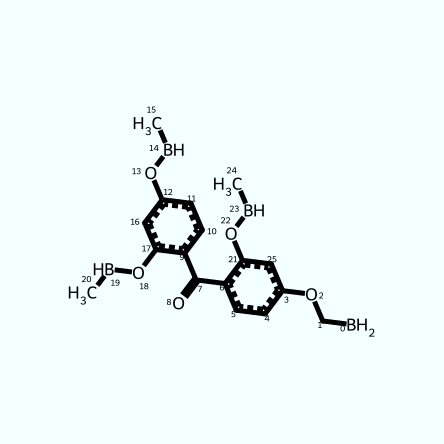 BCOc1ccc(C(=O)c2ccc(OBC)cc2OBC)c(OBC)c1